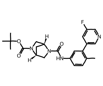 Cc1ccc(NC(=O)N2C[C@H]3C[C@@H]2CN3C(=O)OC(C)(C)C)cc1-c1cncc(F)c1